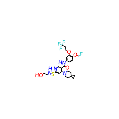 O=C(Nc1ccc(OCF)c(OCCC(F)(F)F)c1)c1cnc(SNCCO)cc1N1CCC2(CC1)CC2